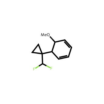 COC1C=CC=CC1C1(C(F)F)CC1